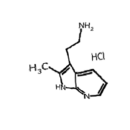 Cc1[nH]c2ncccc2c1CCN.Cl